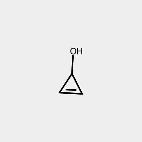 OC1C=C1